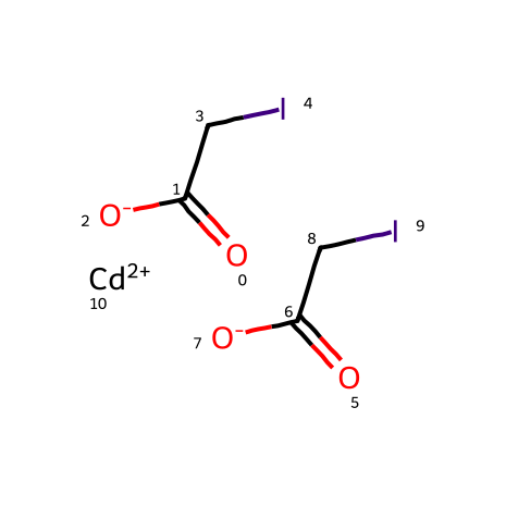 O=C([O-])CI.O=C([O-])CI.[Cd+2]